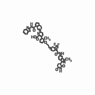 Cc1c(OCCCN2CCN(CC(=O)Nc3ccc4c(C5CCC(=O)NC5=O)nn(C)c4c3)[C@H](C(F)(F)F)C2)cccc1-c1ccc(N2CCc3cccc(C(=O)Nc4nc5ccccc5s4)c3C2)nc1C(=O)O